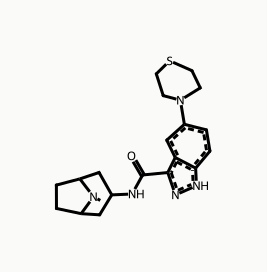 CN1C2CCC1CC(NC(=O)c1n[nH]c3ccc(N4CCSCC4)cc13)C2